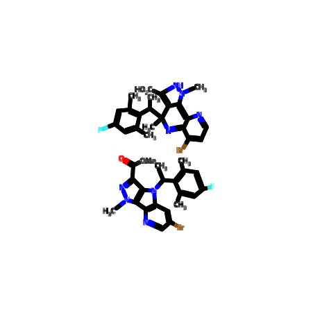 COC(=O)c1nn(C)c2c3ncc(Br)cc3n(C(C)c3c(C)cc(F)cc3C)c12.Cc1cc(F)cc(C)c1C(C)C1(C)N=c2c(Br)ccnc2=C2C1=C(C(=O)O)NN2C